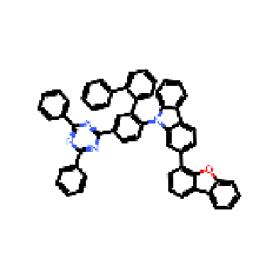 c1ccc(-c2nc(-c3ccccc3)nc(-c3ccc(-n4c5ccccc5c5ccc(-c6cccc7c6oc6ccccc67)cc54)c(-c4ccccc4-c4ccccc4)c3)n2)cc1